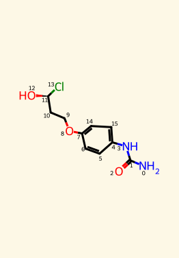 NC(=O)Nc1ccc(OCC[C@@H](O)Cl)cc1